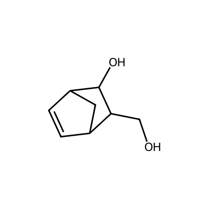 OCC1C2C=CC(C2)C1O